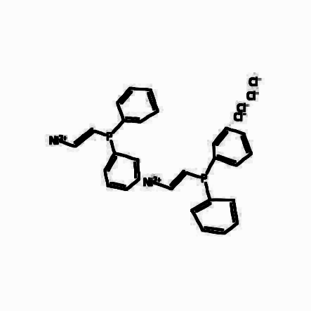 [Cl-].[Cl-].[Cl-].[Cl-].[Ni+2][CH]=CP(c1ccccc1)c1ccccc1.[Ni+2][CH]=CP(c1ccccc1)c1ccccc1